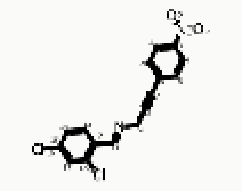 O=[N+]([O-])c1ccc(C#CCN=Cc2ccc(Cl)cc2Cl)cc1